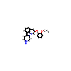 COc1ccccc1OC1Cc2cccc3c4c(n(c23)C1)CCNCC4